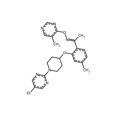 CCc1cnc(N2CCC(Oc3cc(C)ccc3C(C)=NOc3ncncc3C)CC2)nc1